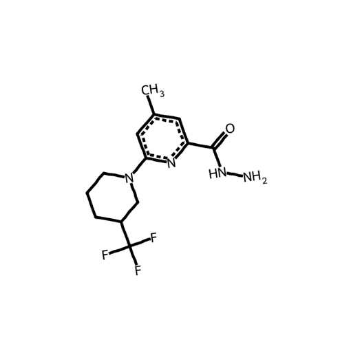 Cc1cc(C(=O)NN)nc(N2CCCC(C(F)(F)F)C2)c1